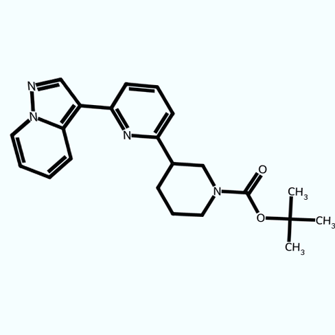 CC(C)(C)OC(=O)N1CCCC(c2cccc(-c3cnn4ccccc34)n2)C1